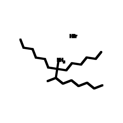 Br.CCCCCCC(C)C(N)(CCCCCC)CCCCCC